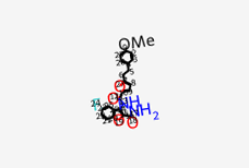 COc1ccc(CCc2ccc(C(=O)Nc3c(C(N)=O)oc4ccc(F)cc34)o2)cc1